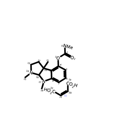 CNC(=O)Oc1cccc2c1C1(C)CCN(C)C1N2C.O=C(O)/C=C\C(=O)O